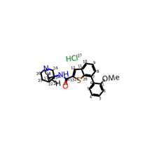 COc1ccccc1-c1cccc2cc(C(=O)N[C@H]3CN4CCC3CC4)sc12.Cl